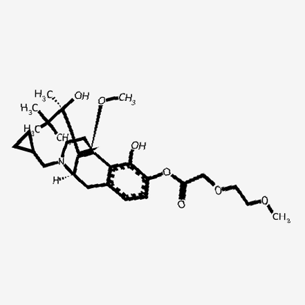 COCCOCC(=O)Oc1ccc2c(c1O)[C@]13CCN(CC4CC4)[C@H](C2)C1C[C@H]([C@](C)(O)C(C)(C)C)[C@@H](OC)C3